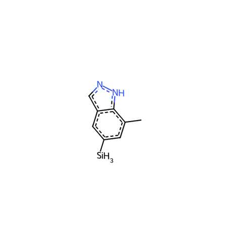 Cc1cc([SiH3])cc2cn[nH]c12